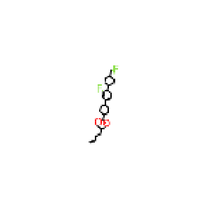 C=CCCC1COC(C2CCC(C3=CCC(C4CCC(CF)CC4)C(F)=C3)CC2)OC1